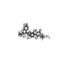 CC(F)(F)CNC(=O)C(c1ccc2[nH]c([C@@H](NC(=O)C3(F)CC3)C3CCC(F)(F)CC3)nc2c1F)C(F)C(F)F